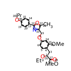 CCO[C@@H](Cc1ccc(OCc2nc(-c3ccc(OC(C)C)cc3)oc2C)cc1OC)C(=O)OC